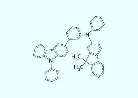 CC1(C)c2ccccc2-c2ccc(N(c3ccccc3)c3cccc(-c4ccc5c(c4)c4ccccc4n5-c4ccccc4)c3)cc21